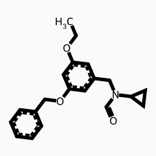 CCOc1cc(CN(C=O)C2CC2)cc(OCc2ccccc2)c1